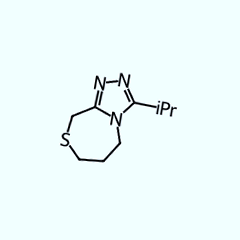 CC(C)c1nnc2n1CCCSC2